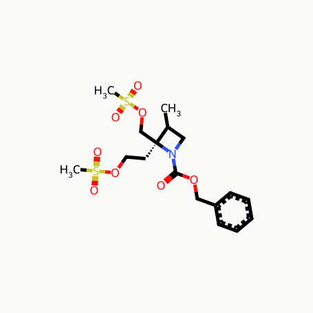 CC1CN(C(=O)OCc2ccccc2)[C@@]1(CCOS(C)(=O)=O)COS(C)(=O)=O